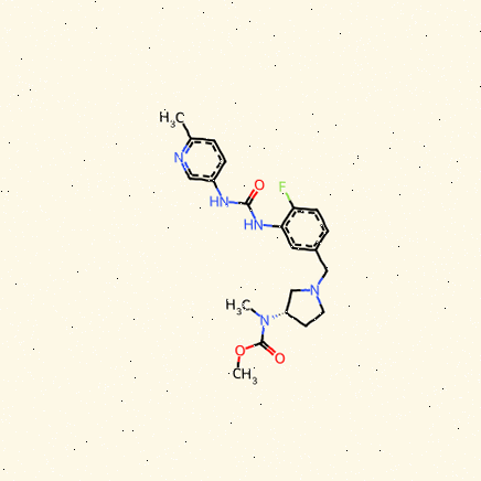 COC(=O)N(C)[C@H]1CCN(Cc2ccc(F)c(NC(=O)Nc3ccc(C)nc3)c2)C1